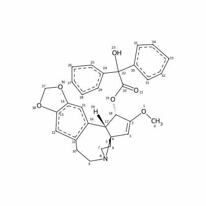 COC1=C[C@]23CCCN2CCc2cc4c(cc2[C@@H]3[C@@H]1OC(=O)C(O)(c1ccccc1)c1ccccc1)OCO4